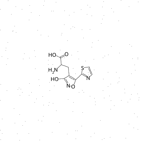 NC(Cc1c(O)noc1-c1nccs1)C(=O)O